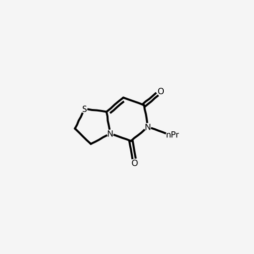 CCCn1c(=O)cc2n(c1=O)CCS2